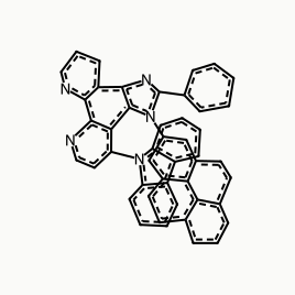 c1ccc(-c2nc3c4cccnc4c4nccc(-n5c6ccccc6c6ccccc65)c4c3n2-c2cc3ccc4cccc5ccc(c2)c3c45)cc1